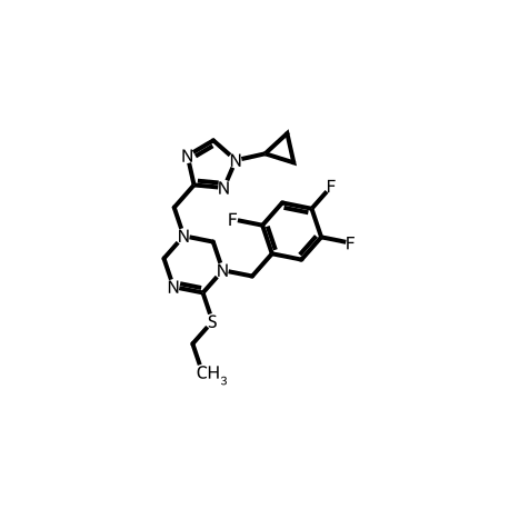 CCSC1=NCN(Cc2ncn(C3CC3)n2)CN1Cc1cc(F)c(F)cc1F